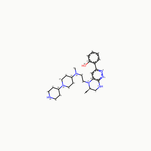 C[C@@H]1CNc2nnc(-c3ccccc3O)cc2N1CCN(C)C1CCN(C2CCNCC2)CC1